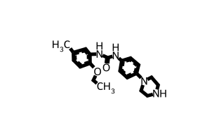 CCOc1ccc(C)cc1NC(=O)Nc1ccc(N2CCNCC2)cc1